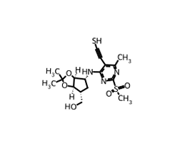 Cc1nc(S(C)(=O)=O)nc(N[C@@H]2C[C@H](CO)[C@H]3OC(C)(C)O[C@H]32)c1C#CS